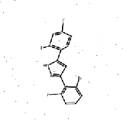 Fc1ccc(-c2cc(-c3c(F)cccc3Br)n[nH]2)c(F)c1